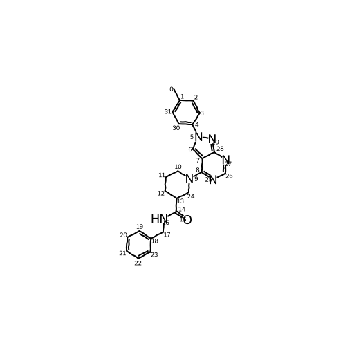 Cc1ccc(-n2cc3c(N4CCCC(C(=O)NCc5ccccc5)C4)ncnc3n2)cc1